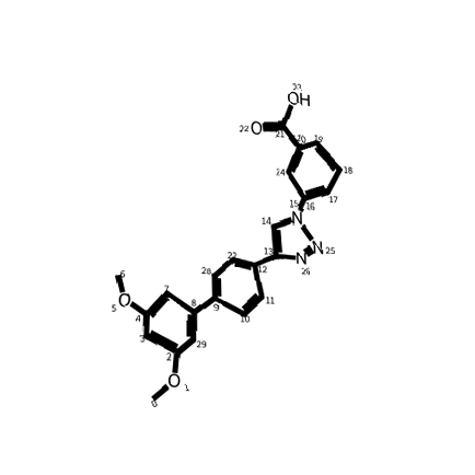 COc1cc(OC)cc(-c2ccc(-c3cn(-c4cccc(C(=O)O)c4)nn3)cc2)c1